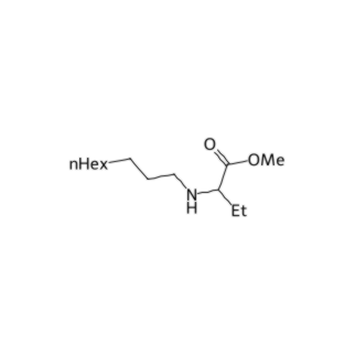 CCCCCCCCCNC(CC)C(=O)OC